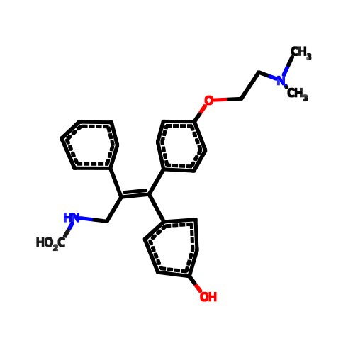 CN(C)CCOc1ccc(/C(=C(/CNC(=O)O)c2ccccc2)c2ccc(O)cc2)cc1